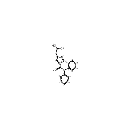 O=C(O)Cc1cn(C(=O)N(c2ccccc2)c2ccccc2)cn1